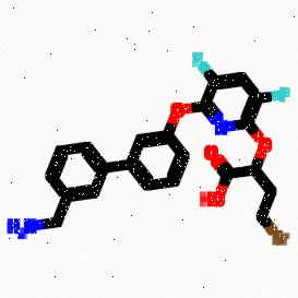 NCc1cccc(-c2cccc(Oc3nc(OC(CCBr)C(=O)O)c(F)cc3F)c2)c1